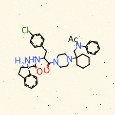 CC(=O)N(CC1(N2CCN(C(=O)C(Cc3ccc(Cl)cc3)NC(=O)C3(N)CCc4ccccc43)CC2)CCCCC1)c1ccccc1